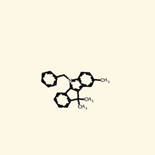 Cc1ccc2c(c1)c1c(n2Cc2ccccc2)-c2ccccc2C1(C)C